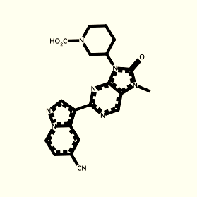 Cn1c(=O)n(C2CCCN(C(=O)O)C2)c2nc(-c3cnn4ccc(C#N)cc34)ncc21